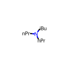 [CH2]C(CC)N(CCC)CCC